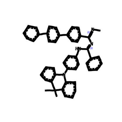 C/N=C(\N=C(/Nc1ccc(N2c3ccccc3C(C)(C)c3ccccc32)cc1)c1ccccc1)c1ccc(-c2ccc(-c3ccccc3)cc2)cc1